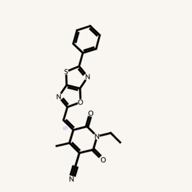 CCN1C(=O)C(C#N)=C(C)/C(=C/c2nc3sc(-c4ccccc4)nc3o2)C1=O